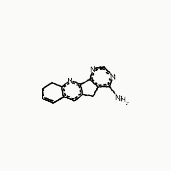 Nc1ncnc2c1Cc1cc3c(nc1-2)CCC=C3